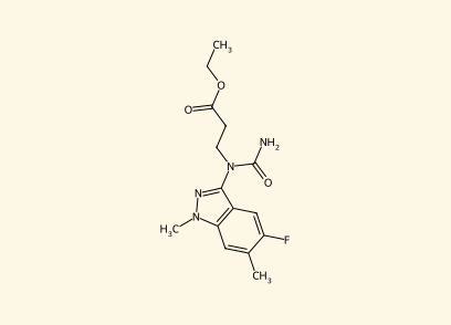 CCOC(=O)CCN(C(N)=O)c1nn(C)c2cc(C)c(F)cc12